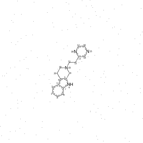 c1ccc2c3c([nH]c2c1)CN(CCc1cnccn1)CC3